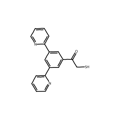 O=C(CS)c1cc(-c2ccccn2)cc(-c2ccccn2)c1